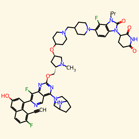 C#Cc1c(F)ccc2cc(O)cc(-c3ncc4c(N5CC6CCC(C5)N6)nc(OC[C@@H]5C[C@@H](OC6CCN(CC7CCN(c8ccc9c(c8F)n(C(C)C)c(=O)n9C8CCC(=O)NC8=O)CC7)CC6)CN5C)nc4c3F)c12